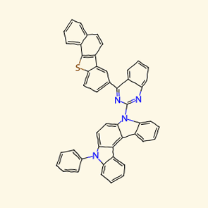 c1ccc(-n2c3ccccc3c3c4c5ccccc5n(-c5nc(-c6ccc7sc8c9ccccc9ccc8c7c6)c6ccccc6n5)c4ccc32)cc1